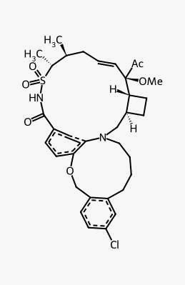 CO[C@]1(C(C)=O)/C=C/C[C@H](C)[C@@H](C)S(=O)(=O)NC(=O)c2ccc3c(c2)N(CCCCc2cc(Cl)ccc2CO3)C[C@@H]2CC[C@H]21